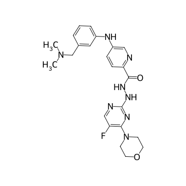 CN(C)Cc1cccc(Nc2ccc(C(=O)NNc3ncc(F)c(N4CCOCC4)n3)nc2)c1